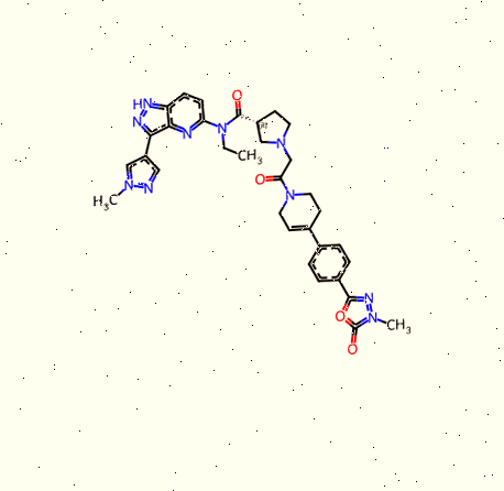 CCN(C(=O)[C@@H]1CCN(CC(=O)N2CC=C(c3ccc(-c4nn(C)c(=O)o4)cc3)CC2)C1)c1ccc2[nH]nc(-c3cnn(C)c3)c2n1